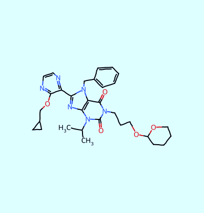 CC(C)n1c(=O)n(CCCOC2CCCCO2)c(=O)c2c1nc(-c1nccnc1OCC1CC1)n2Cc1ccccc1